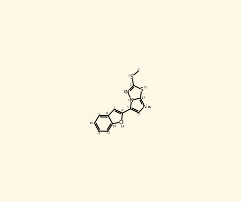 CSc1nn2c(-c3cc4ccccc4o3)cnc2s1